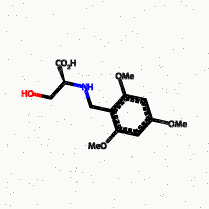 COc1cc(OC)c(CN[C@@H](CO)C(=O)O)c(OC)c1